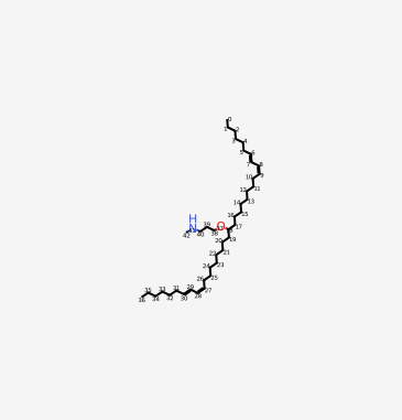 CCCCCC/C=C/C=C\CCCCCCCCC(CCCCCCCC/C=C\C=C\CCCCCC)OCCCNC